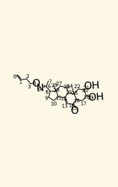 C=CCCO/N=C(\C)C1CCC2C3=CC(=O)C4CC(O)C(O)CC4(C)C3CCC21C